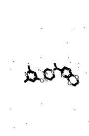 Cc1cc(O[C@H]2CCN(C(C)c3ccc4c(n3)OCCO4)C[C@H]2C)cc(C)n1